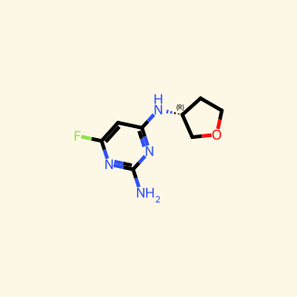 Nc1nc(F)cc(N[C@@H]2CCOC2)n1